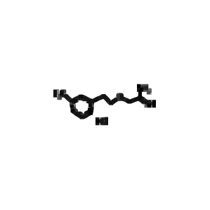 Cl.N=C(N)COCCc1cccc(C(F)(F)F)c1